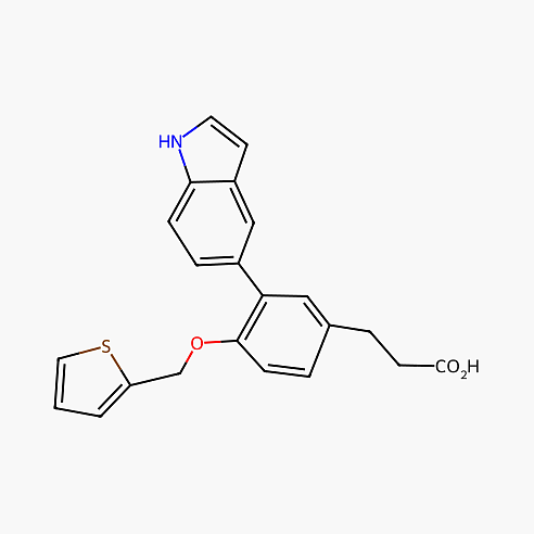 O=C(O)CCc1ccc(OCc2cccs2)c(-c2ccc3[nH]ccc3c2)c1